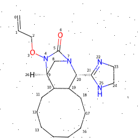 C=CCON1C(=O)N2C[C@H]1C1CCCCCCCCC1[C@H]2C1=NCCN1